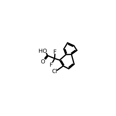 O=C(O)C(F)(F)c1c(Cl)ccc2ccccc12